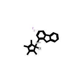 CC[C]1([Zr+2][c]2cccc3c2Cc2ccccc2-3)C(C)=C(C)C(C)=C1C.[I-].[I-]